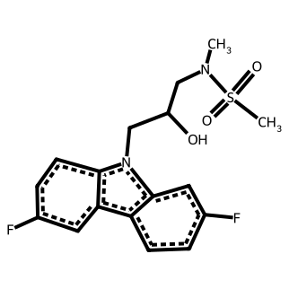 CN(CC(O)Cn1c2ccc(F)cc2c2ccc(F)cc21)S(C)(=O)=O